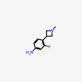 CN1CC(c2ccc(N)cc2F)C1